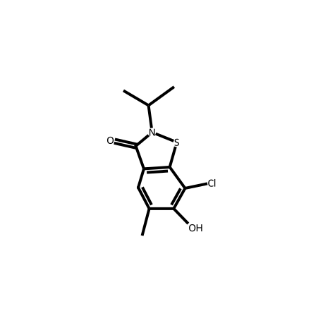 Cc1cc2c(=O)n(C(C)C)sc2c(Cl)c1O